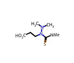 CNC(=S)N(CCC(=O)O)N(C)C